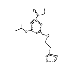 C=CC(=O)c1cc(OCCc2ccsc2)cc(OC(C)C)c1